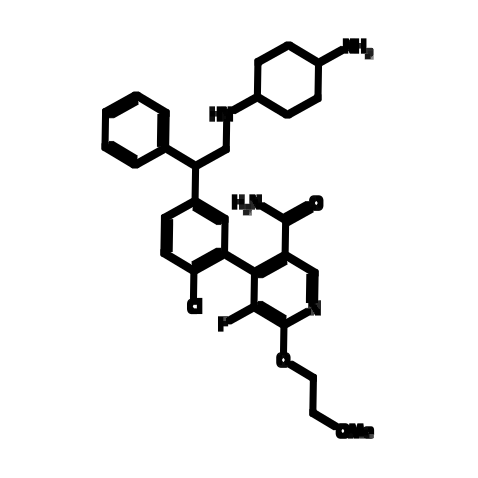 COCCOc1ncc(C(N)=O)c(-c2cc(C(CNC3CCC(N)CC3)c3ccccc3)ccc2Cl)c1F